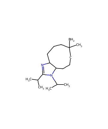 BC1(C)CCCC2N=C(C(C)C)N(C(C)C)C2CCC1